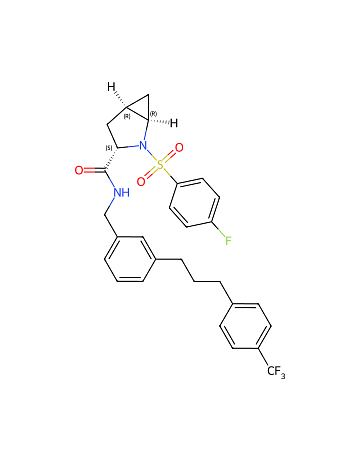 O=C(NCc1cccc(CCCc2ccc(C(F)(F)F)cc2)c1)[C@@H]1C[C@H]2C[C@H]2N1S(=O)(=O)c1ccc(F)cc1